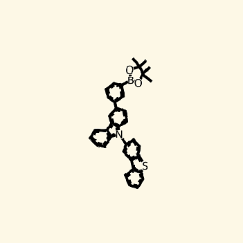 CC1(C)OB(c2cccc(-c3ccc4c(c3)c3ccccc3n4-c3ccc4sc5ccccc5c4c3)c2)OC1(C)C